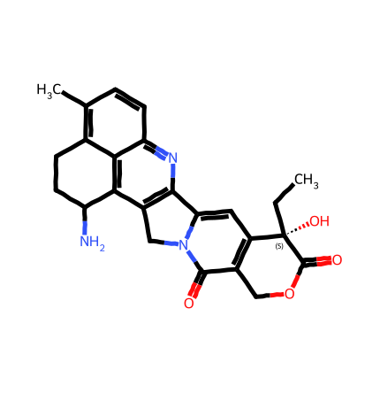 CC[C@@]1(O)C(=O)OCc2c1cc1n(c2=O)Cc2c-1nc1ccc(C)c3c1c2C(N)CC3